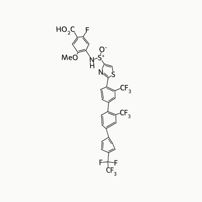 COc1cc(C(=O)O)c(F)cc1N[S+]([O-])c1csc(-c2ccc(-c3ccc(-c4ccc(C(F)(F)C(F)(F)F)cc4)cc3C(F)(F)F)cc2C(F)(F)F)n1